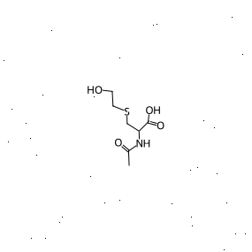 CC(=O)NC(CSCCO)C(=O)O